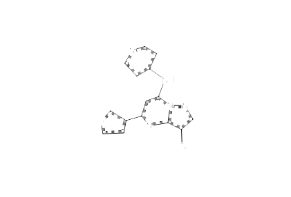 Brc1cnn2c(Nc3ccncc3)cc(-c3ccoc3)nc12